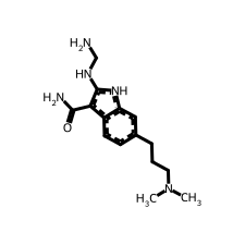 CN(C)CCCc1ccc2c(C(N)=O)c(NCN)[nH]c2c1